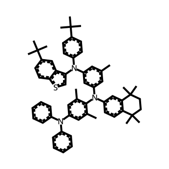 Cc1cc(N(c2ccc3c(c2)C(C)(C)CCC3(C)C)c2c(C)cc(N(c3ccccc3)c3ccccc3)cc2C)cc(N(c2ccc(C(C)(C)C)cc2)c2csc3ccc(C(C)(C)C)cc23)c1